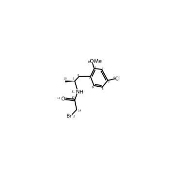 COc1cc(Cl)ccc1C[C@H](C)NC(=O)CBr